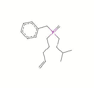 C=CCCCP(=C)(CCC(C)C)Cc1ccccc1